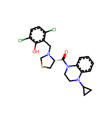 O=C([C@@H]1CSCN1Cc1c(Cl)ccc(Cl)c1O)N1CCN(C2CC2)c2ccccc21